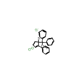 CC(c1ccccc1)(c1ccccc1)[C]1([Ti+3])C=CC=C1c1ccccc1.[Cl-].[Cl-].[Cl-]